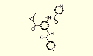 CC1CC1C(=O)c1cc(NC(=O)c2ccncc2)cc(NC(=O)c2ccncc2)c1